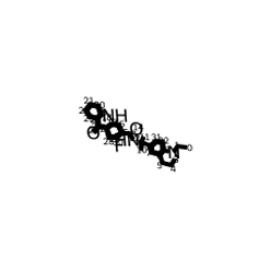 CCN1CCCc2cc(C(C)(C)NC(=O)c3cc4[nH]c5ccccc5c(=O)c4cc3F)ccc21